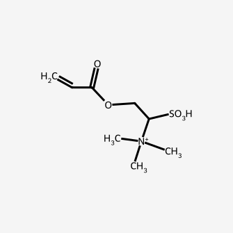 C=CC(=O)OCC([N+](C)(C)C)S(=O)(=O)O